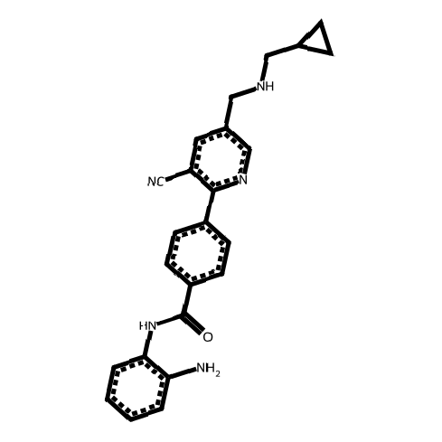 N#Cc1cc(CNCC2CC2)cnc1-c1ccc(C(=O)Nc2ccccc2N)cc1